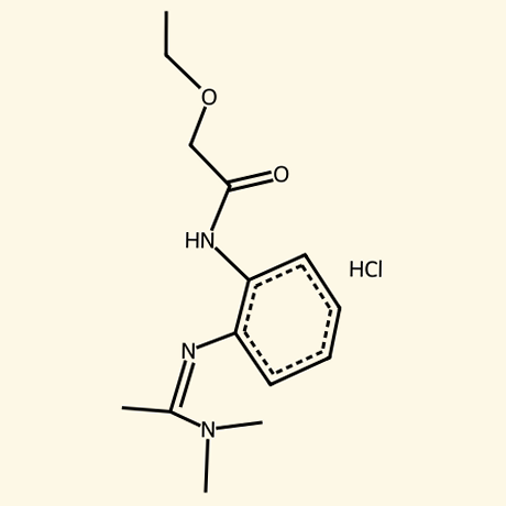 CCOCC(=O)Nc1ccccc1N=C(C)N(C)C.Cl